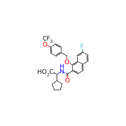 O=C(N[C@H](C(=O)O)C1CCCC1)c1ccc2ccc(F)cc2c1OCc1ccc(OC(F)(F)F)cc1